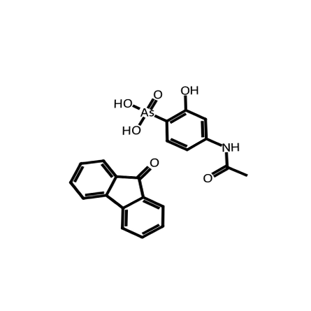 CC(=O)Nc1ccc([As](=O)(O)O)c(O)c1.O=C1c2ccccc2-c2ccccc21